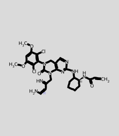 C=CC(=O)N[C@H]1CCCCC1Nc1ncc2c(n1)N(CC(=N)/C=C\N)C(=O)N(c1c(Cl)c(OC)cc(OC)c1Cl)C2